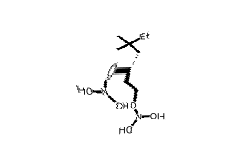 CCC(C)(C)C[C@H](CON(O)O)ON(O)O